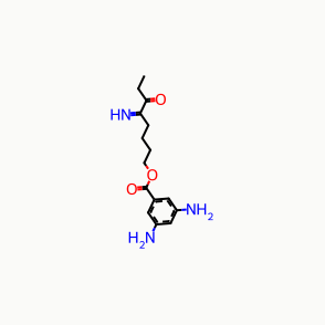 CCC(=O)C(=N)CCCCOC(=O)c1cc(N)cc(N)c1